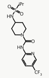 CC(C)S(=O)(=O)NC1CCN(C(=O)Nc2ccc(C(F)(F)F)cn2)CC1